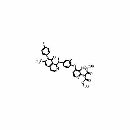 Cc1cc2ccnc(Nc3ccc(Oc4ccnc(N(C(=O)OC(C)(C)C)C(=O)OC(C)(C)C)c4[N+](=O)[O-])c(F)c3)c2c(=O)n1-c1ccc(F)cc1